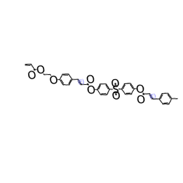 C=CC(=O)OCCOc1ccc(/C=C/C(=O)Oc2ccc(S(=O)(=O)c3ccc(OC(=O)/C=C/c4ccc(C)cc4)cc3)cc2)cc1